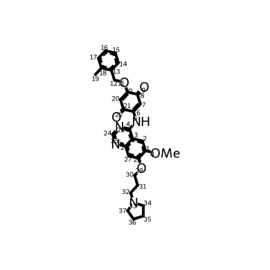 COc1cc2c(NC3=CC(=O)C(OCc4ccccc4C)=CC3=O)ncnc2cc1OCCCN1CCCC1